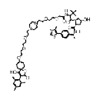 Cc1cc(C)c(C2=C(O)C3(CCC(OCCOCCOCCN4CCN(CCOCCOCC(=O)N[C@H](C(=O)N5C[C@H](O)C[C@H]5C(=O)N[C@@H](C)c5ccc(-c6scnc6C)cc5)C(C)(C)C)CC4)CC3)OC2=O)c(C)c1